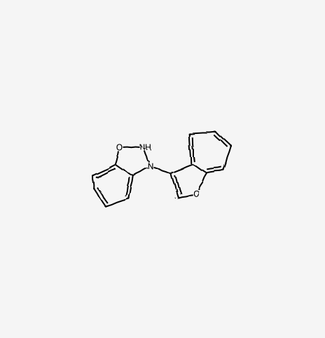 [c]1oc2ccccc2c1N1NOc2ccccc21